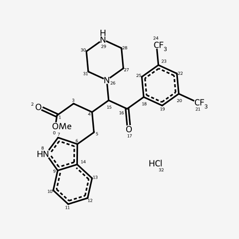 COC(=O)CC(Cc1c[nH]c2ccccc12)C(C(=O)c1cc(C(F)(F)F)cc(C(F)(F)F)c1)N1CCNCC1.Cl